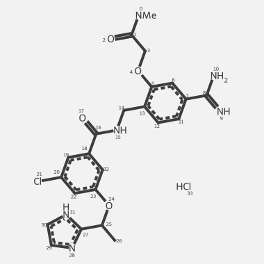 CNC(=O)COc1cc(C(=N)N)ccc1CNC(=O)c1cc(Cl)cc(OC(C)c2ncc[nH]2)c1.Cl